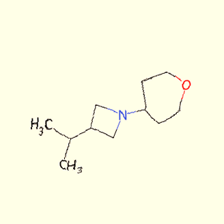 CC(C)C1CN(C2CCOCC2)C1